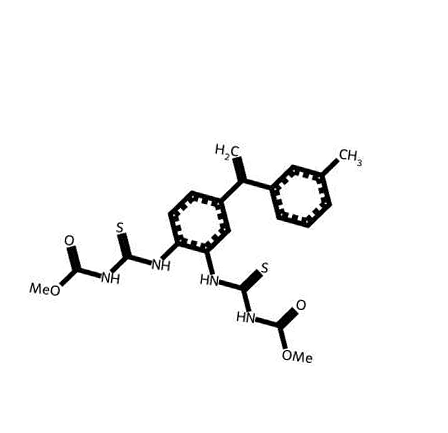 C=C(c1cccc(C)c1)c1ccc(NC(=S)NC(=O)OC)c(NC(=S)NC(=O)OC)c1